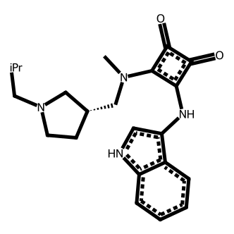 CC(C)CN1CC[C@@H](CN(C)c2c(Nc3c[nH]c4ccccc34)c(=O)c2=O)C1